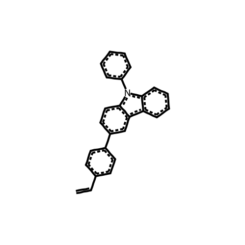 C=Cc1ccc(-c2ccc3c(c2)c2ccccc2n3-c2ccccc2)cc1